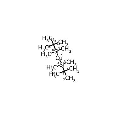 CC(C)(C)[Si](C)(C)[Cu][Si](C)(C)C(C)(C)C